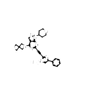 Cn1cc(-c2ccccc2)nc1C#Cc1nc(N2CC3(COC3)C2)c2cnn(C3CCOCC3)c2n1